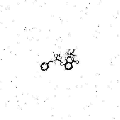 CC(COc1cccc(C=O)c1OS(=O)(=O)C(F)(F)F)OCc1ccccc1